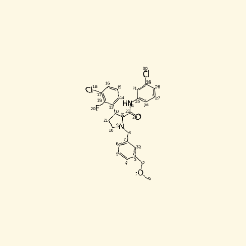 COCc1cccc(CN2CCC(c3cccc(Cl)c3F)C2C(=O)Nc2cccc(Cl)c2)c1